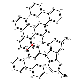 CC(C)(C)c1ccc2c(c1)c1cc(C(C)(C)C)cc3c1n2-c1cc(-c2ccccc2-c2ccccc2)cc2c1B3c1cc(-c3ccccc3-c3ccccc3)cc(-c3ccccc3-c3ccccc3)c1O2